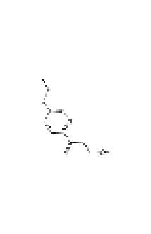 C=C(CCO)c1ccc(OC(C)C)cn1